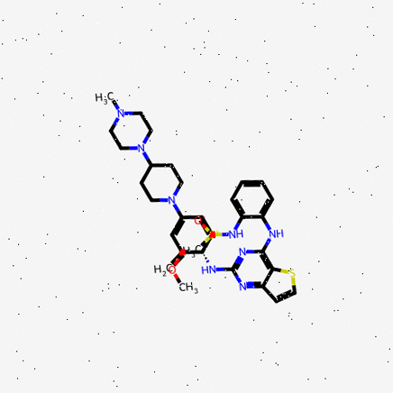 C=C[C@H](/C=C\C(=C/COC)N1CCC(N2CCN(C)CC2)CC1)Nc1nc(Nc2ccccc2N[S+](C)[O-])c2sccc2n1